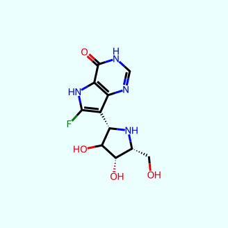 O=c1[nH]cnc2c([C@@H]3N[C@H](CO)[C@H](O)C3O)c(F)[nH]c12